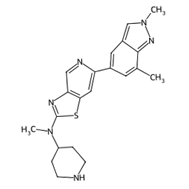 Cc1cc(-c2cc3sc(N(C)C4CCNCC4)nc3cn2)cc2cn(C)nc12